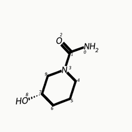 NC(=O)N1CCC[C@H](O)C1